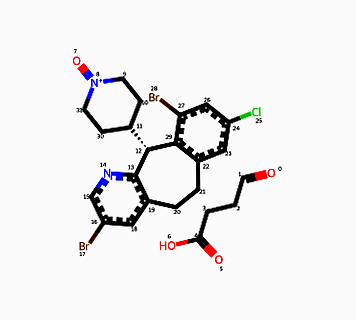 O=CCCC(=O)O.O=[N+]1CCC([C@H]2c3ncc(Br)cc3CCc3cc(Cl)cc(Br)c32)CC1